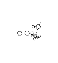 Cc1ccn(C(CNS(C)(=O)=O)CO[C@H]2CC[C@@H](c3ccccc3)CC2)c(=O)c1